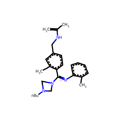 C=C(C)NCc1ccc(/C(=N\c2ccccc2C)N2CN(CCCC)C2)c(C)c1